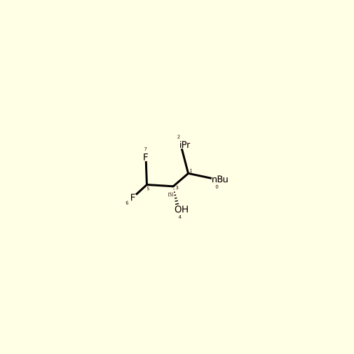 CCCCC(C(C)C)[C@H](O)C(F)F